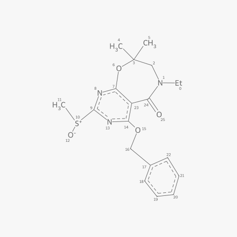 CCN1CC(C)(C)Oc2nc([S+](C)[O-])nc(OCc3ccccc3)c2C1=O